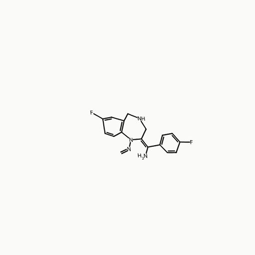 C=NN1/C(=C(\N)c2ccc(F)cc2)CNCc2cc(F)ccc21